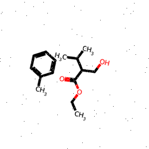 CCOC(=O)C(CO)C(C)C.Cc1ccccc1